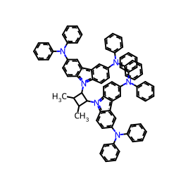 CC1C(C)C(n2c3ccc(N(c4ccccc4)c4ccccc4)cc3c3cc(N(c4ccccc4)c4ccccc4)ccc32)C1n1c2ccc(N(c3ccccc3)c3ccccc3)cc2c2cc(N(c3ccccc3)c3ccccc3)ccc21